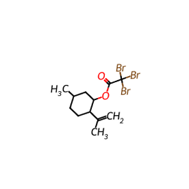 C=C(C)C1CCC(C)CC1OC(=O)C(Br)(Br)Br